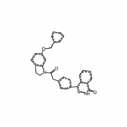 O=C(Cc1ccc(-c2n[nH]c(=O)c3ccccc23)cc1)N1CCc2ccc(OCc3ccccc3)cc21